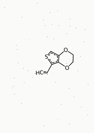 [CH]=[C]c1scc2c1OCCO2